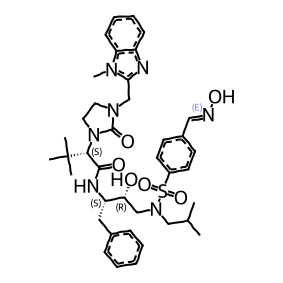 CC(C)CN(C[C@@H](O)[C@H](Cc1ccccc1)NC(=O)[C@@H](N1CCN(Cc2nc3ccccc3n2C)C1=O)C(C)(C)C)S(=O)(=O)c1ccc(/C=N/O)cc1